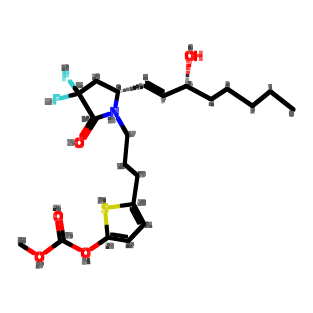 CCCCC[C@@H](O)/C=C/[C@H]1CC(F)(F)C(=O)N1CCCc1ccc(OC(=O)OC)s1